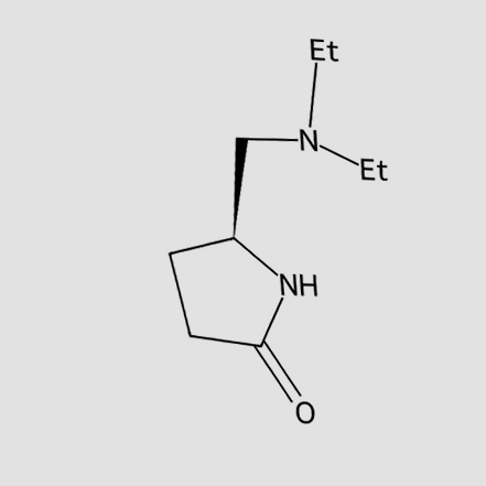 CCN(CC)C[C@@H]1CCC(=O)N1